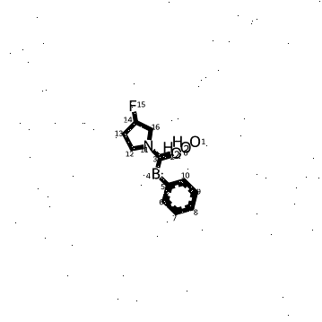 O.O.O=C([B]c1ccccc1)N1CCC(F)C1